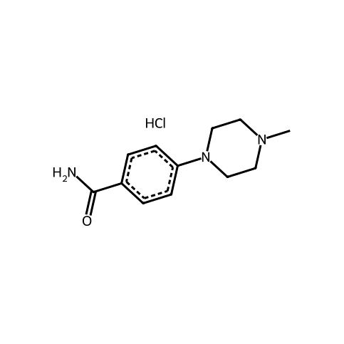 CN1CCN(c2ccc(C(N)=O)cc2)CC1.Cl